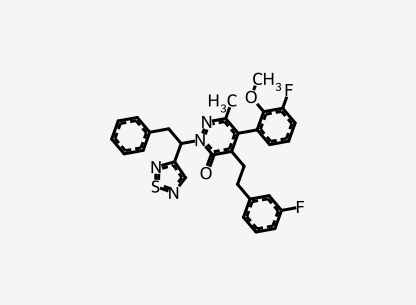 COc1c(F)cccc1-c1c(C)nn(C(Cc2ccccc2)c2cnsn2)c(=O)c1CCc1cccc(F)c1